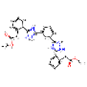 COC(=O)Cc1ccccc1-c1nc(-c2cccc(-c3n[nH]c(-c4ccccc4CC(=O)OC)n3)c2)n[nH]1